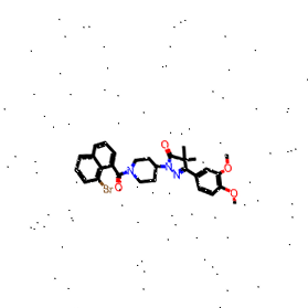 COc1ccc(C2=NN(C3CCN(C(=O)c4cccc5cccc(Br)c45)CC3)C(=O)C2(C)C)cc1OC